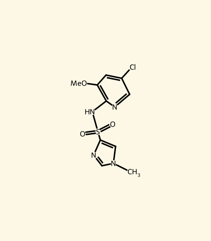 COc1cc(Cl)cnc1NS(=O)(=O)c1cn(C)cn1